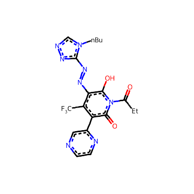 CCCCn1cnnc1N=Nc1c(C(F)(F)F)c(-c2cnccn2)c(=O)n(C(=O)CC)c1O